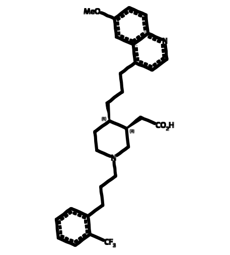 COc1ccc2nccc(CCC[C@@H]3CCN(CCCc4ccccc4C(F)(F)F)C[C@@H]3CC(=O)O)c2c1